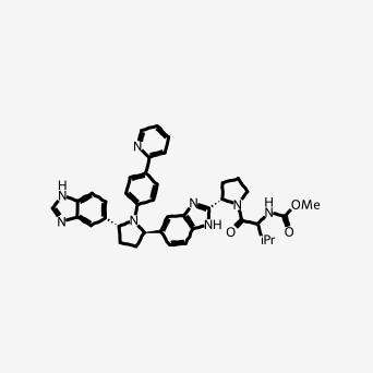 COC(=O)NC(C(=O)N1CCC[C@H]1c1nc2cc([C@H]3CC[C@H](c4ccc5[nH]cnc5c4)N3c3ccc(-c4ccccn4)cc3)ccc2[nH]1)C(C)C